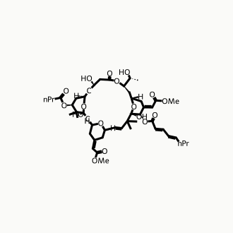 CCC/C=C/C=C/C(=O)O[C@H]1/C(=C/C(=O)OC)C[C@H]2C[C@H]([C@@H](C)O)OC(=O)C[C@H](O)C[C@@H]3C[C@H](OC(=O)CCC)C(C)(C)[C@](O)(C[C@@H]4C/C(=C/C(=O)OC)C[C@H](/C=C/C(C)(C)[C@]1(O)O2)O4)O3